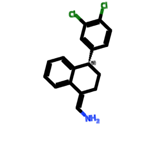 NC=C1CC[C@@H](c2ccc(Cl)c(Cl)c2)c2ccccc21